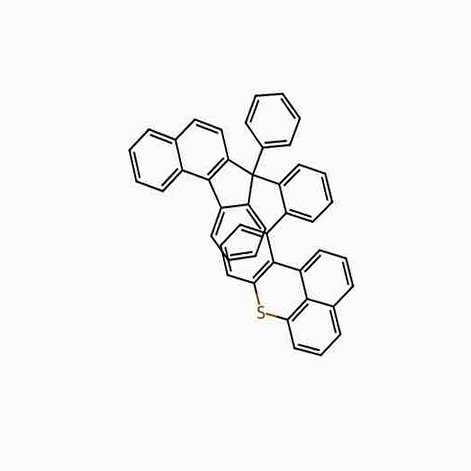 c1ccc(C2(c3ccccc3-c3cccc4c3-c3cccc5cccc(c35)S4)c3ccccc3-c3c2ccc2ccccc32)cc1